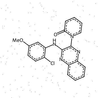 COc1ccc(Cl)c(Nc2nc3ccccc3nc2-n2ccccc2=O)c1